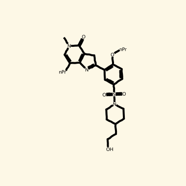 CCCOc1ccc(S(=O)(=O)N2CCC(CCO)CC2)cc1C1=Nc2c(CCC)cn(C)c(=O)c2C1